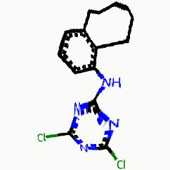 Clc1nc(Cl)nc(Nc2cccc3c2CCCC3)n1